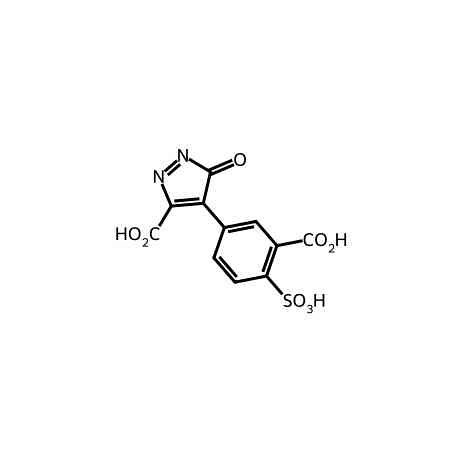 O=C(O)C1=C(c2ccc(S(=O)(=O)O)c(C(=O)O)c2)C(=O)N=N1